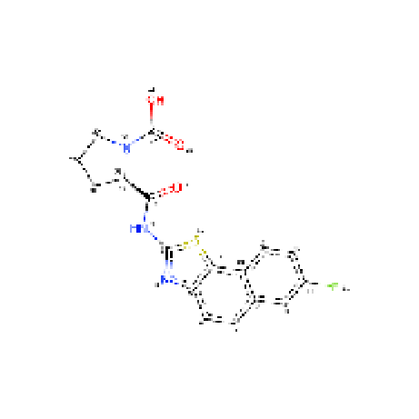 O=C(Nc1nc2ccc3cc(F)ccc3c2s1)[C@H]1CCCN1C(=O)O